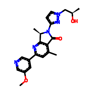 COc1cncc(-c2cc(C)c3c(n2)[C@H](C)N(c2ccn(C[C@H](C)O)n2)C3=O)c1